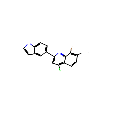 COc1ccc2c(Cl)cc(-c3ccc4[nH]ccc4c3)nc2c1Br